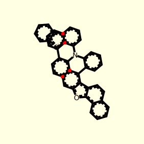 c1ccc(-c2ccccc2N(c2ccccc2-c2cccc3oc4c5ccccc5ccc4c23)c2cccc3c2oc2ccccc23)cc1